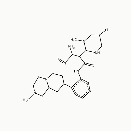 CN1CCN2CCN(c3ccncc3NC(=O)C(C(N)N=O)C3NCC(Cl)CN3C)CC2C1